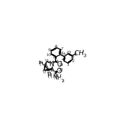 Cc1cccc(-c2ccccc2C(=O)N2C[C@@H]3C[C@@H]3[C@H]2C(N)=O)c1